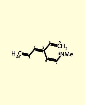 C=C/C=C(C=C)\C=C/NC